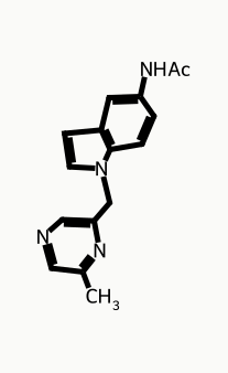 CC(=O)Nc1ccc2c(ccn2Cc2cncc(C)n2)c1